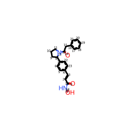 O=C(/C=C/c1ccc(C2CCCN2C(=O)Cc2ccccc2)cc1)NO